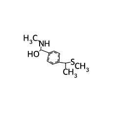 CNC(O)c1ccc(C(C)SC)cc1